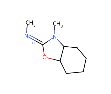 C/N=C1/OC2CCCCC2N1C